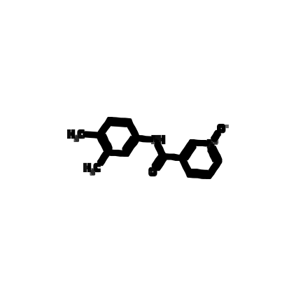 Cc1ccc(NC(=O)c2ccc[n+]([O-])c2)cc1C